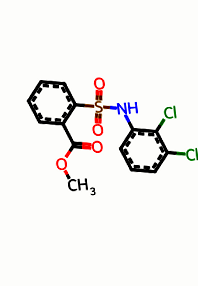 COC(=O)c1ccccc1S(=O)(=O)Nc1cccc(Cl)c1Cl